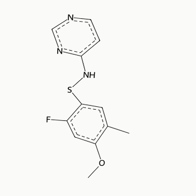 COc1cc(F)c(SNc2ccncn2)cc1C